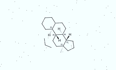 CCC.C[C@@]12CCC[C@H]1[C@@H]1CCC3CCCC[C@@H]3[C@H]1CC2